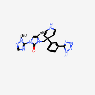 CCCCc1cn(-c2ncnn2C(C)(C)C)c(=O)n1CC1(c2cccc(-c3nnn[nH]3)c2)C=CNC=C1